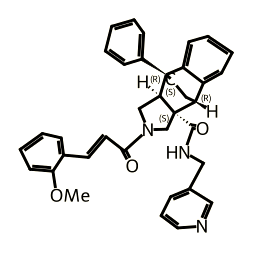 COc1ccccc1C=CC(=O)N1C[C@H]2[C@@]3(c4ccccc4)CC[C@H](c4ccccc43)[C@@]2(C(=O)NCc2cccnc2)C1